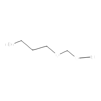 CCCCCCCOCOCC